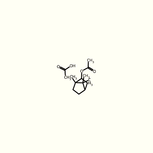 CC(=O)O.CC(=O)OC1CC2CCC1(C)C2(C)C